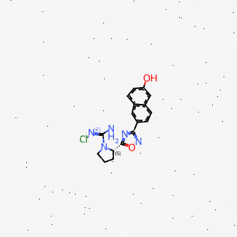 N/C(=N/Cl)N1CCC[C@H]1c1nc(-c2ccc3cc(O)ccc3c2)no1